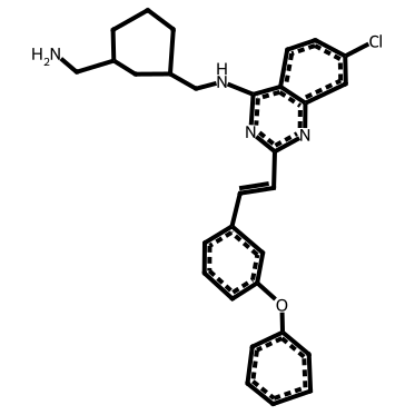 NCC1CCCC(CNc2nc(C=Cc3cccc(Oc4ccccc4)c3)nc3cc(Cl)ccc23)C1